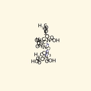 CCOC(=O)N1CCN(C2=C(/C=C/C3=[N+](CC(=O)O)c4ccc(SOOOC)cc4C3(C)C)CC/C2=C\C=C2\N(CC(=O)O)c3ccc(S(=O)(=O)O)cc3C2(C)C)CC1